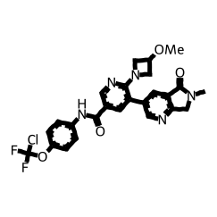 COC1CN(c2ncc(C(=O)Nc3ccc(OC(F)(F)Cl)cc3)cc2-c2cnc3c(c2)C(=O)N(C)C3)C1